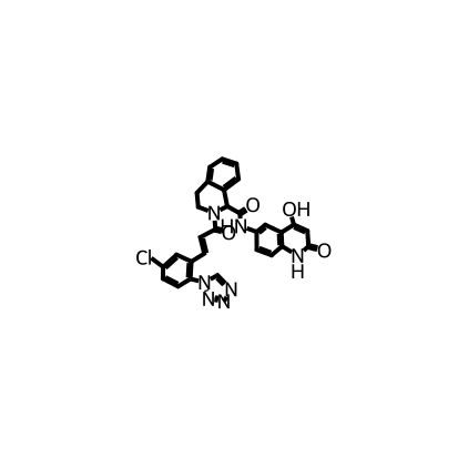 O=C(Nc1ccc2[nH]c(=O)cc(O)c2c1)C1c2ccccc2CCN1C(=O)C=Cc1cc(Cl)ccc1-n1cnnn1